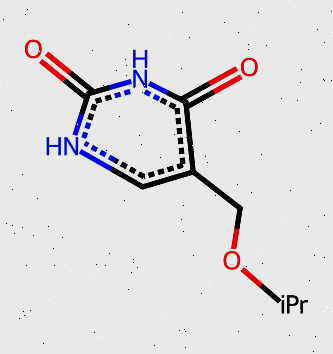 CC(C)OCc1c[nH]c(=O)[nH]c1=O